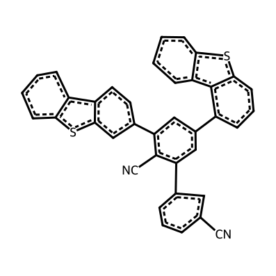 N#Cc1cccc(-c2cc(-c3cccc4sc5ccccc5c34)cc(-c3ccc4c(c3)sc3ccccc34)c2C#N)c1